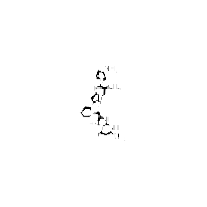 Cc1cn2nc([C@@H]3CCCCN3C(=O)C3NC4NC(C)CC(=O)N4N3)cc2nc1N1CC[C@H](N)C1